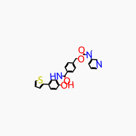 CN(C(=O)OCc1ccc(C(=O)Nc2cc(-c3cccs3)ccc2O)cc1)c1cccnc1